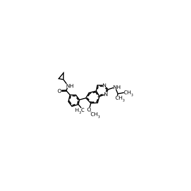 COc1cc2nc(NC(C)C)ncc2cc1-c1cc(C(=O)NC2CC2)ccc1C